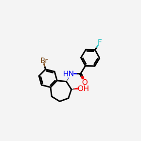 O=C(N[C@H]1c2cc(Br)ccc2CCC[C@@H]1O)c1ccc(F)cc1